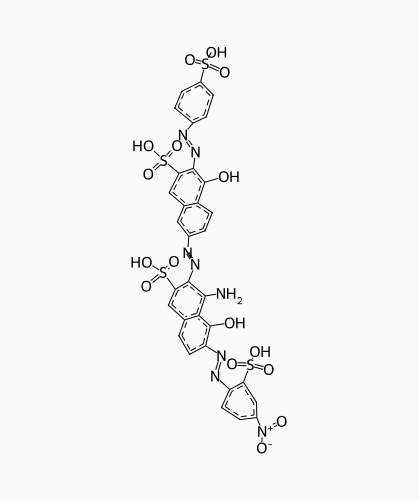 Nc1c(N=Nc2ccc3c(O)c(N=Nc4ccc(S(=O)(=O)O)cc4)c(S(=O)(=O)O)cc3c2)c(S(=O)(=O)O)cc2ccc(N=Nc3ccc([N+](=O)[O-])cc3S(=O)(=O)O)c(O)c12